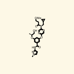 COCCC(=O)N(CC1CC1)c1cnc(Oc2cc(O[C@@H](C)CO)cc(C(=O)Nc3ccn(C)n3)c2)cn1